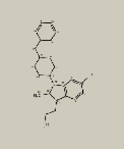 CCCN1c2ccc(F)cc2N(N2CCN(Cc3ccccc3)CC2)C1C